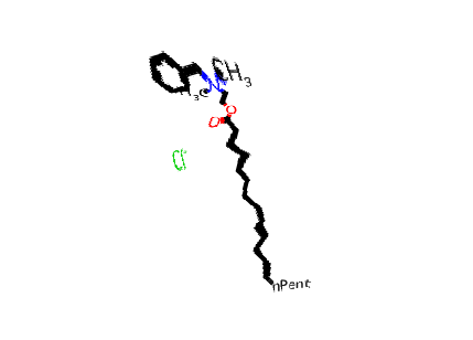 CCCCCC=CCC=CCCCCCCCC(=O)OCC[N+](C)(C)Cc1ccccc1.[Cl-]